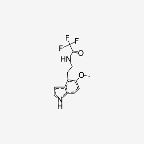 COc1ccc2[nH]ccc2c1CCNC(=O)C(F)(F)F